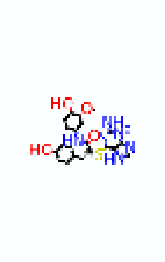 COc1cc(NC(=O)[C@@H](Cc2ccc(O)cc2)Sc2nc(N)nc3nc[nH]c23)ccc1O